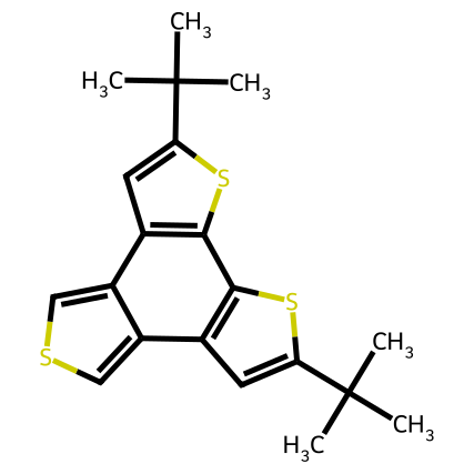 CC(C)(C)c1cc2c3cscc3c3cc(C(C)(C)C)sc3c2s1